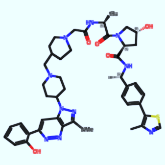 CNc1nn(C2CCN(CC3CCN(CC(=O)N[C@H](C(=O)N4C[C@H](O)C[C@H]4C(=O)N[C@@H](C)c4ccc(-c5scnc5C)cc4)C(C)(C)C)CC3)CC2)c2cc(-c3ccccc3O)nnc12